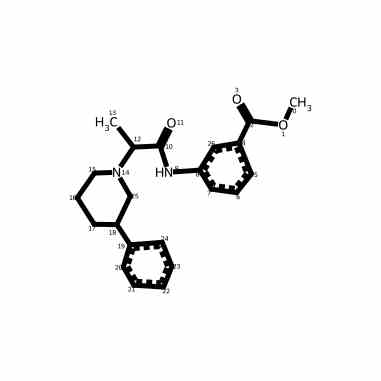 COC(=O)c1cccc(NC(=O)C(C)N2CCCC(c3ccccc3)C2)c1